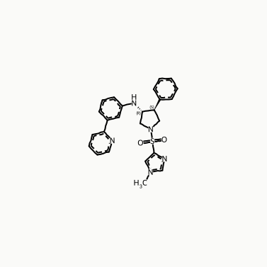 Cn1cnc(S(=O)(=O)N2C[C@H](Nc3cccc(-c4ccccn4)c3)[C@@H](c3ccccc3)C2)c1